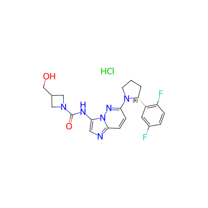 Cl.O=C(Nc1cnc2ccc(N3CCC[C@@H]3c3cc(F)ccc3F)nn12)N1CC(CO)C1